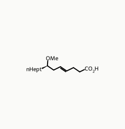 CCCCCCC[C@H](C/C=C/CCC(=O)O)OC